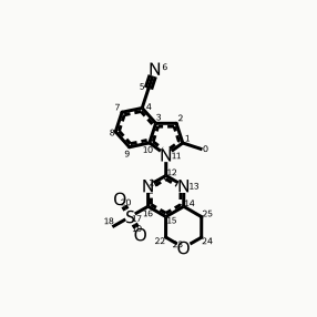 Cc1cc2c(C#N)cccc2n1-c1nc2c(c(S(C)(=O)=O)n1)COCC2